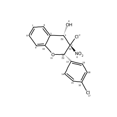 O=[N+]([O-])[C@]1(Cl)[C@@H](O)c2ccccc2O[C@H]1c1ccc(Cl)cc1